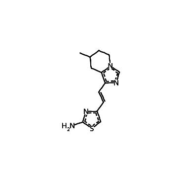 CC1CCn2cnc(/C=C/c3csc(N)n3)c2C1